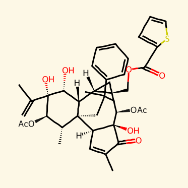 C=C(C)[C@@]1(O)[C@H](O)[C@@H]2[C@@H]3C[C@]3(COC(=O)c3cccs3)[C@@H](OC(C)=O)[C@]3(O)C(=O)C(C)=C[C@H]3[C@@]2(CC(C)(C)c2ccccc2)[C@H](C)[C@H]1OC(C)=O